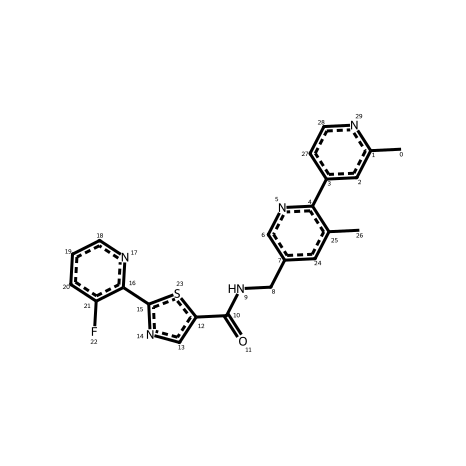 Cc1cc(-c2ncc(CNC(=O)c3cnc(-c4ncccc4F)s3)cc2C)ccn1